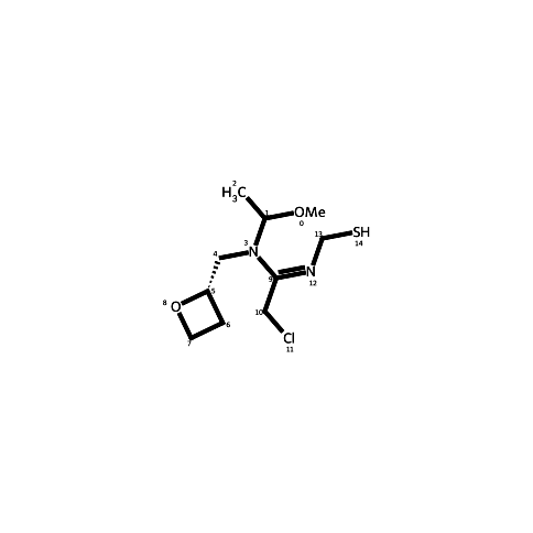 COC(C)N(C[C@@H]1CCO1)/C(CCl)=N\CS